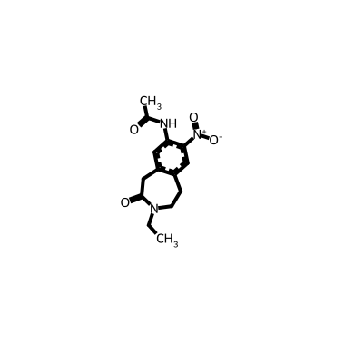 CCN1CCc2cc([N+](=O)[O-])c(NC(C)=O)cc2CC1=O